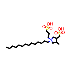 CCCCCCCCCCCCCC[N+]1(CCCS(=O)(=O)O)CC(C)C(CS(=O)(=O)O)C1